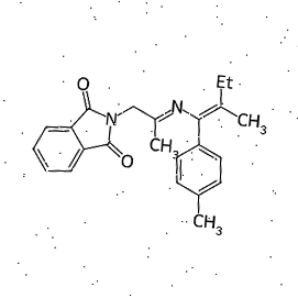 CC/C(C)=C(\N=C(/C)CN1C(=O)c2ccccc2C1=O)c1ccc(C)cc1